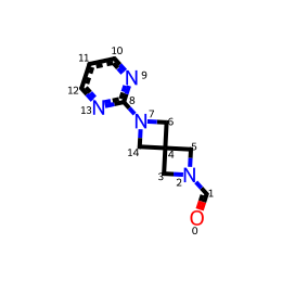 O=CN1CC2(C1)CN(c1ncccn1)C2